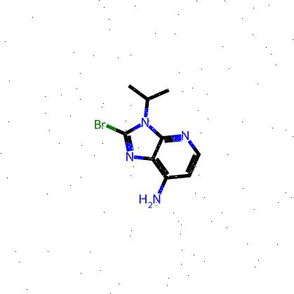 CC(C)n1c(Br)nc2c(N)ccnc21